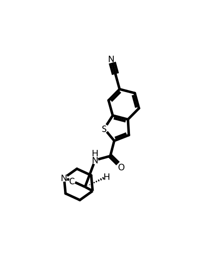 N#Cc1ccc2cc(C(=O)N[C@@H]3CN4CCC3CC4)sc2c1